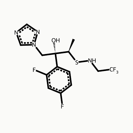 C[C@@H](SNCC(F)(F)F)[C@](O)(Cn1cncn1)c1ccc(F)cc1F